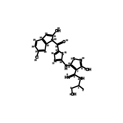 CC(CO)NC(=N)c1c(O)nsc1Nc1ncc(C(=O)n2c(O)cc3ccc(Cl)cc32)s1